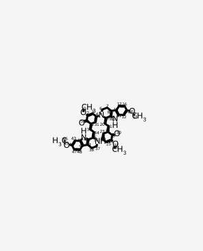 COC1=CC(N2CCc3c([nH]c4cc(OC)ccc34)/C2=C\C=C2/C=CC=C(OC)C2=O)=C/C(=C\C=C2\NCCc3c2[nH]c2cc(OC)ccc32)C1=O